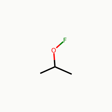 CC(C)OF